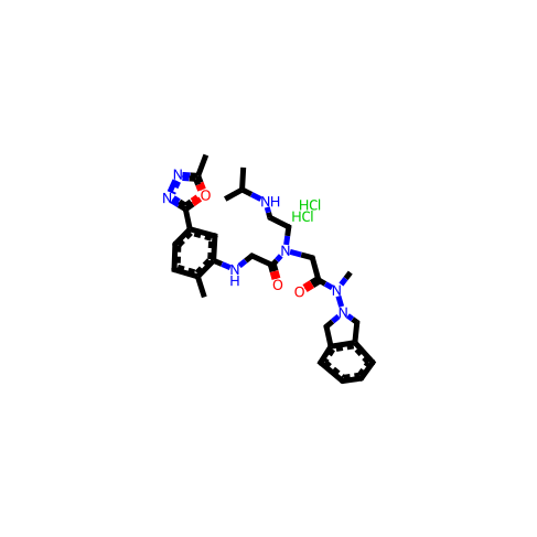 Cc1nnc(-c2ccc(C)c(NCC(=O)N(CCNC(C)C)CC(=O)N(C)N3Cc4ccccc4C3)c2)o1.Cl.Cl